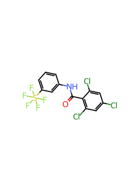 O=C(Nc1cccc(S(F)(F)(F)(F)F)c1)c1c(Cl)cc(Cl)cc1Cl